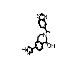 CC(c1ccc2scnc2c1)N1CCc2cc(-c3cnn(C)c3)ccc2[C@@H](O)C1